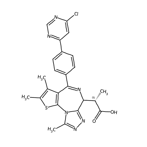 Cc1sc2c(c1C)C(c1ccc(-c3cc(Cl)ncn3)cc1)=NC([C@H](C)C(=O)O)c1nnc(C)n1-2